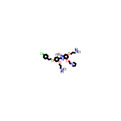 CCCCn1c(-c2ccc(OCCc3ccc(Cl)cc3)cc2OCCCN(CC)CC)nc2c(OCCN3CCCC3)cc(OCCCN(CC)CC)cc21